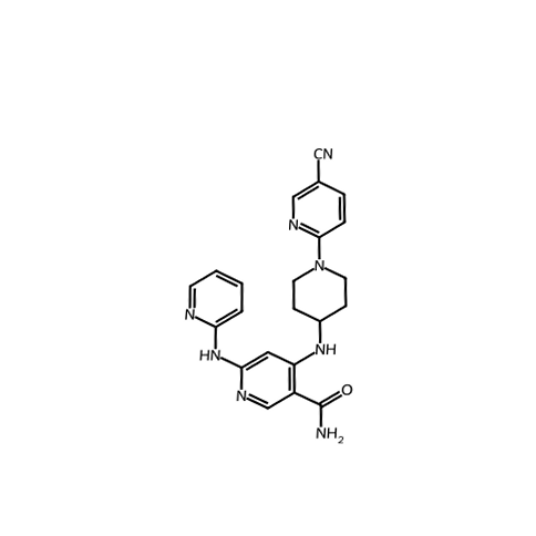 N#Cc1ccc(N2CCC(Nc3cc(Nc4ccccn4)ncc3C(N)=O)CC2)nc1